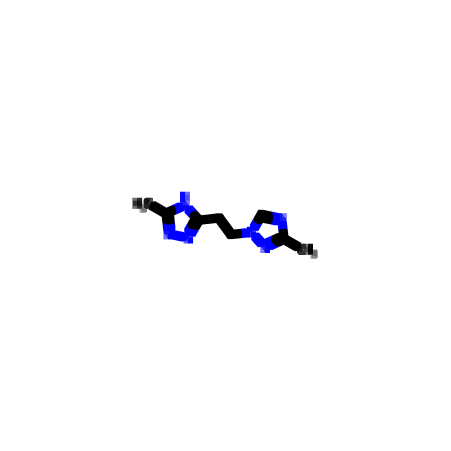 Cc1ncn(CCc2nnc(C)[nH]2)n1